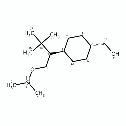 C[SiH](C)OCC([C@H]1CC[C@H](CO)CC1)C(C)(C)C